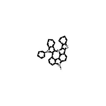 In1c2cccc3c2c2c1ccc1c4sc5ccccc5c4n(c12)c1c2ccccc2n(-c2ccccc2)c31